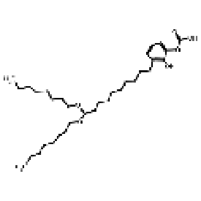 CCCCCCCCOC(CCCCCCCCCc1cccc(OC(=O)O)c1O)OCCCCCCCC